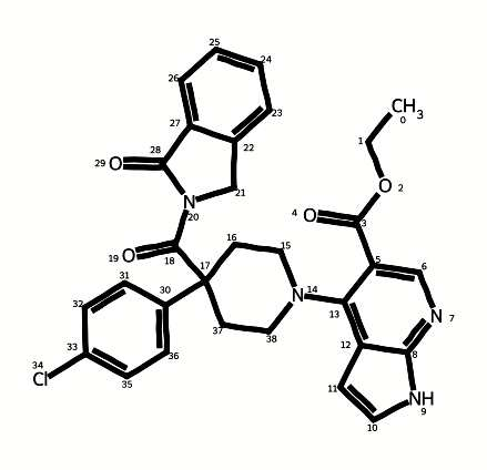 CCOC(=O)c1cnc2[nH]ccc2c1N1CCC(C(=O)N2Cc3ccccc3C2=O)(c2ccc(Cl)cc2)CC1